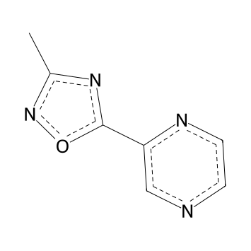 Cc1noc(-c2cnccn2)n1